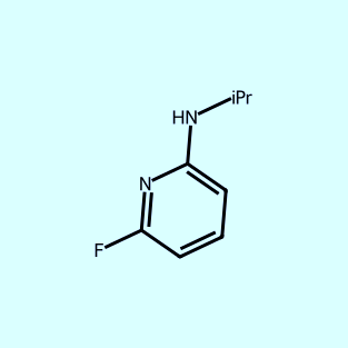 CC(C)Nc1cccc(F)n1